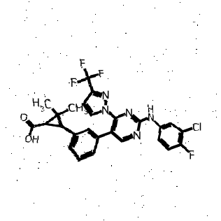 CC1(C)C(C(=O)O)C1c1cccc(-c2cnc(Nc3ccc(F)c(Cl)c3)nc2-n2ccc(C(F)(F)F)n2)c1